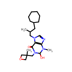 CC(CC1CCCCCC1)Cn1cnc2c1C(=O)N(CC1(C)COC1)C(O)N2C